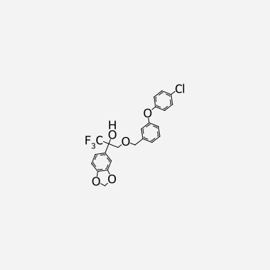 OC(COCc1cccc(Oc2ccc(Cl)cc2)c1)(c1ccc2c(c1)OCO2)C(F)(F)F